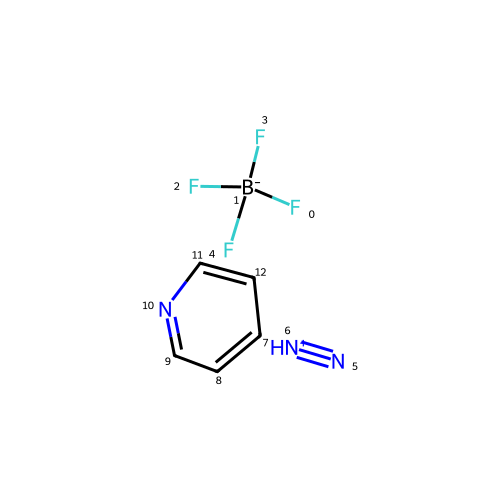 F[B-](F)(F)F.N#[NH+].c1ccncc1